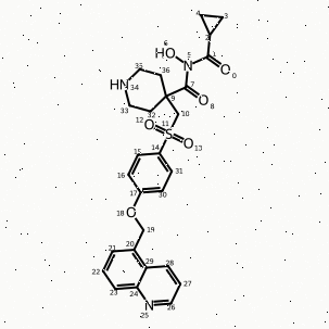 O=C(C1CC1)N(O)C(=O)C1(CS(=O)(=O)c2ccc(OCc3cccc4ncccc34)cc2)CCNCC1